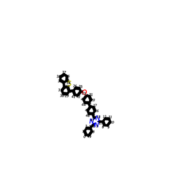 c1ccc(-c2nc(-c3ccccc3)nc(-c3ccc(-c4ccc(Oc5ccc(-c6cccc7c6sc6ccccc67)cc5)cc4)cc3)n2)cc1